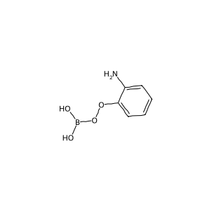 Nc1ccccc1OOB(O)O